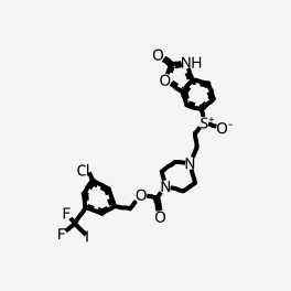 O=C(OCc1cc(Cl)cc(C(F)(F)I)c1)N1CCN(CC[S+]([O-])c2ccc3[nH]c(=O)oc3c2)CC1